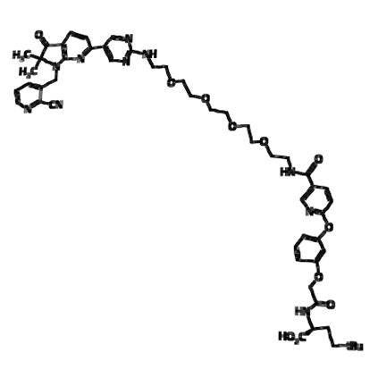 CC(C)(C)CC[C@H](NC(=O)COc1cccc(Oc2ccc(C(=O)NCCOCCOCCOCCOCCNc3ncc(-c4ccc5c(n4)N(Cc4cccnc4C#N)C(C)(C)C5=O)cn3)cn2)c1)C(=O)O